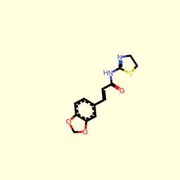 O=C(/C=C/c1ccc2c(c1)OCO2)NC1=NCCS1